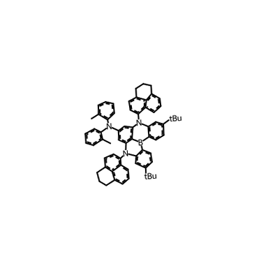 Cc1ccccc1N(c1cc2c3c(c1)N(c1ccc4c5c(cccc15)CCC4)c1cc(C(C)(C)C)ccc1B3c1ccc(C(C)(C)C)cc1N2c1ccc2c3c(cccc13)CCC2)c1ccccc1C